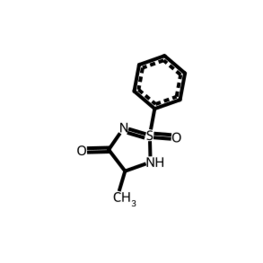 CC1NS(=O)(c2ccccc2)=NC1=O